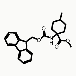 COC(=O)C1(NC(=O)OCC2c3ccccc3-c3ccccc32)CCC(C)CC1